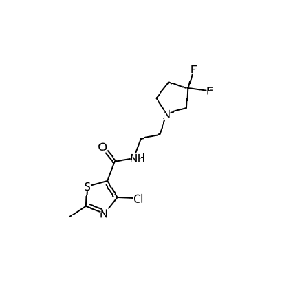 Cc1nc(Cl)c(C(=O)NCCN2CCC(F)(F)C2)s1